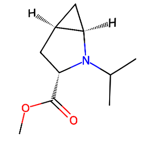 COC(=O)[C@@H]1C[C@H]2C[C@H]2N1C(C)C